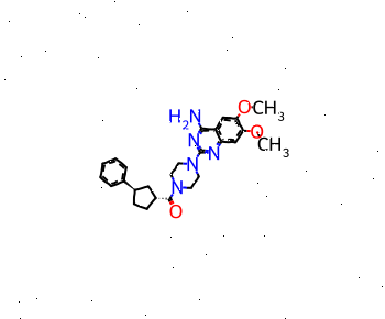 COc1cc2nc(N3CCN(C(=O)[C@@H]4CC[C@@H](c5ccccc5)C4)CC3)nc(N)c2cc1OC